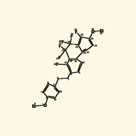 CCOc1ccc(CCc2ccc3c(c2F)C(F)(F)C(F)(F)c2c-3ccc(OCC)c2F)cc1